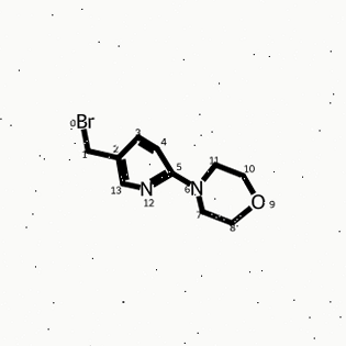 BrCc1ccc(N2CCOCC2)nc1